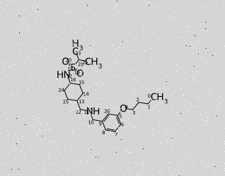 CCCCOc1cccc(CNCC2CCC(NS(=O)(=O)C(C)C)CC2)c1